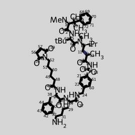 CN[C@H](C(=O)NC(C(=O)N(C)[C@H](/C=C(\C)C(=O)NS(=O)(=O)c1ccc(CNC(=O)[C@H](CCCCN)NC(=O)[C@H](Cc2ccccc2)NC(=O)CCCCCN2C(=O)C=CC2=O)cc1)C(C)C)C(C)(C)C)C(C)(C)c1ccccc1